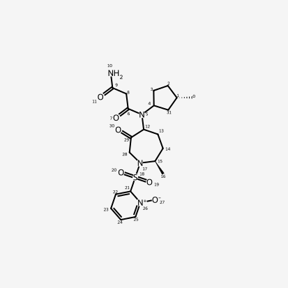 C[C@H]1CCC(N(C(=O)CC(N)=O)C2CC[C@@H](C)N(S(=O)(=O)c3cccc[n+]3[O-])CC2=O)C1